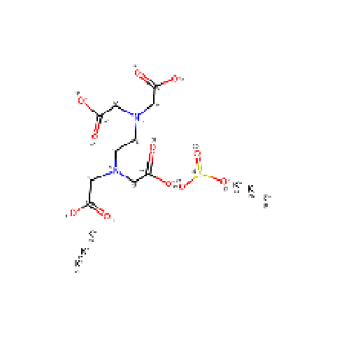 O=C([O-])CN(CCN(CC(=O)[O-])CC(=O)[O-])CC(=O)[O-].O=S([O-])[O-].[K+].[K+].[K+].[K+].[K+].[K+]